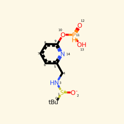 CC(C)(C)[S+]([O-])NCc1cccc(O[PH](=O)O)n1